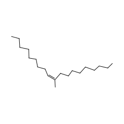 CCCCCCCCC=C(C)CCCCCCCCC